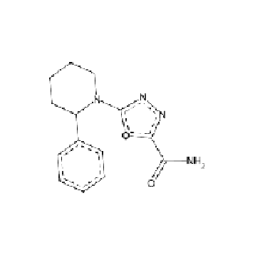 NC(=O)c1nnc(N2CCCCC2c2ccccc2)o1